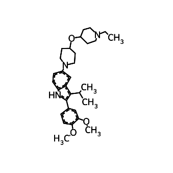 CCN1CCC(OC2CCN(c3ccc4[nH]c(-c5ccc(OC)c(OC)c5)c(C(C)C)c4c3)CC2)CC1